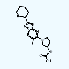 Cc1cn2nc([C@@H]3CCCCN3)cc2nc1N1CC[C@H](NC(=O)O)C1